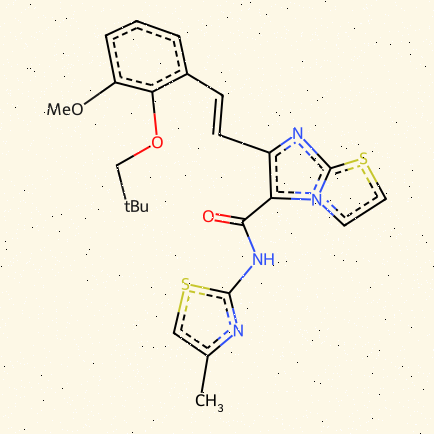 COc1cccc(C=Cc2nc3sccn3c2C(=O)Nc2nc(C)cs2)c1OCC(C)(C)C